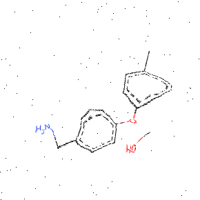 CO.Cc1ccc(Oc2ccc(CN)cc2)cc1